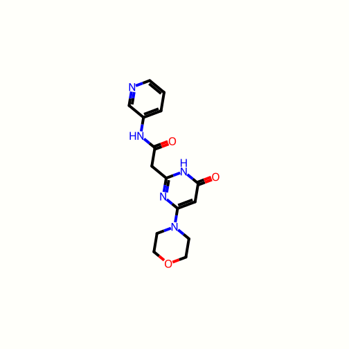 O=C(Cc1nc(N2CCOCC2)cc(=O)[nH]1)Nc1cccnc1